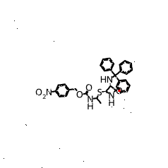 CC(NC(=O)OCc1ccc([N+](=O)[O-])cc1)S[C@@H]1NC(=O)[C@H]1NC(c1ccccc1)(c1ccccc1)c1ccccc1